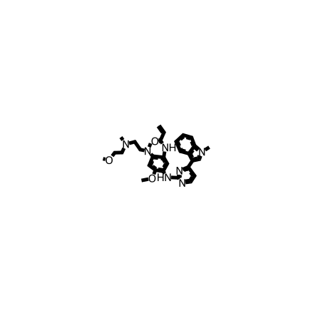 C=CC(=O)Nc1cc(Nc2nccc(-c3cn(C)c4ccccc34)n2)c(OC)cc1N(C)CCN(C)CCOC